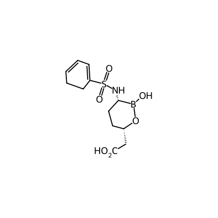 O=C(O)C[C@@H]1CC[C@H](NS(=O)(=O)C2=CC=CCC2)B(O)O1